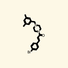 Cc1cc(C)cc(CN2CCN(C(=O)C=Cc3ccc(Br)cc3)CC2)c1